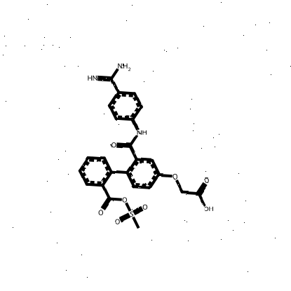 CS(=O)(=O)OC(=O)c1ccccc1-c1ccc(OCC(=O)O)cc1C(=O)Nc1ccc(C(=N)N)cc1